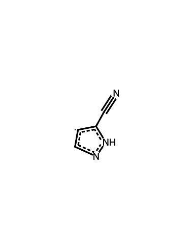 N#Cc1[c]cn[nH]1